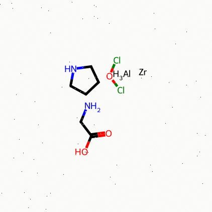 C1CCNC1.ClOCl.NCC(=O)O.[AlH3].[Zr]